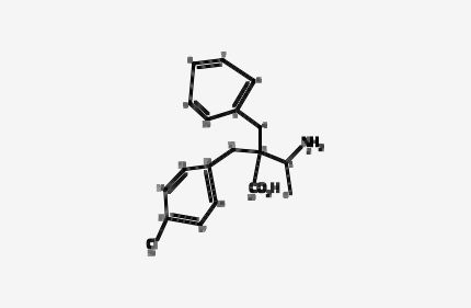 CC(N)C(Cc1ccccc1)(Cc1ccc(Cl)cc1)C(=O)O